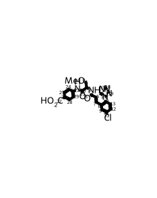 COCC(NC(=O)C=Cc1cc(Cl)ccc1-n1cnnn1)C(=O)Nc1ccc(C(=O)O)cc1